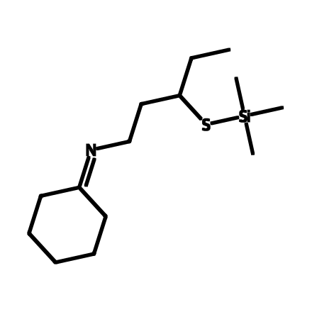 CCC(CCN=C1CCCCC1)S[Si](C)(C)C